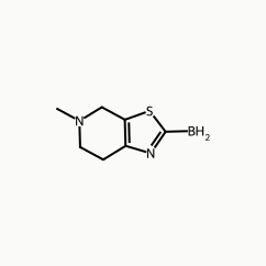 Bc1nc2c(s1)CN(C)CC2